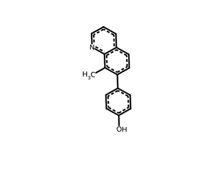 Cc1c(-c2ccc(O)cc2)ccc2cccnc12